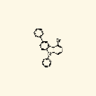 BrC1=CC=CC2C1c1cc(-c3ccccc3)ccc1N2c1ccccc1